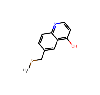 CSCc1ccc2nccc(O)c2c1